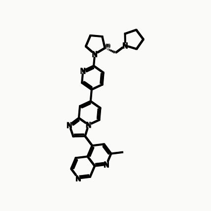 Cc1cc(-c2cnc3cc(-c4ccc(N5CCC[C@@H]5CN5CCCC5)nc4)ccn23)c2ccncc2n1